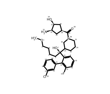 COCCCC[C@@](O)(c1cccc(F)c1-c1cccc(Cl)c1)C1CCCN(C(=O)[C@H]2C[C@@H](N)[C@@H](O)C2)C1